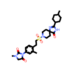 Cc1cc(N2C(=O)CN(C)C2=O)ccc1CCS(=O)(=O)N1CCC2(CC1)N=C(C1CCC(C)CC1)NC2=O